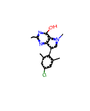 Cc1nc(O)c2c(n1)c(-c1c(C)cc(Cl)cc1C)cn2C